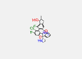 CC1Cc2cc(C(N)=O)c(-c3c(Cl)c(F)cc4c3[C@H](C)[C@](c3ccccc3)([C@@H]3CCCN3)O4)c(F)c2C1O